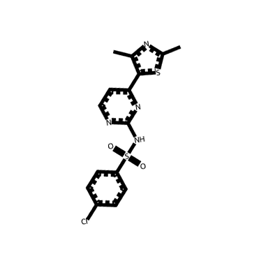 Cc1nc(C)c(-c2ccnc(NS(=O)(=O)c3ccc(Cl)cc3)n2)s1